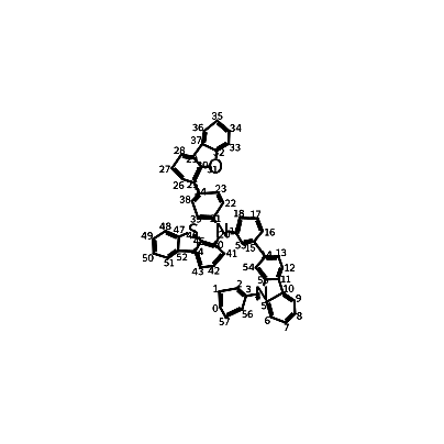 c1ccc(-n2c3ccccc3c3ccc(-c4cccc(N(c5ccc(-c6cccc7c6oc6ccccc67)cc5)c5cccc6c5sc5ccccc56)c4)cc32)cc1